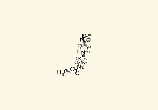 CCOC(=O)N1CCC2(CC(N3CCC(c4nnco4)CC3)C2)C1